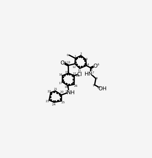 Cc1ccc(C(=O)NCCO)cc1C(=O)c1ccc(Nc2ccccc2)cc1Cl